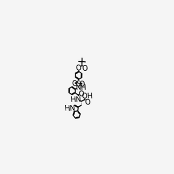 CC(C)(C)C(=O)Oc1ccc(S(=O)(=O)Nc2ccccc2C(=O)N[C@@H](Cc2c[nH]c3ccccc23)C(=O)O)cc1